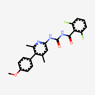 COc1ccc(-c2c(C)cc(NC(=O)NC(=O)c3c(F)cccc3F)nc2C)cc1